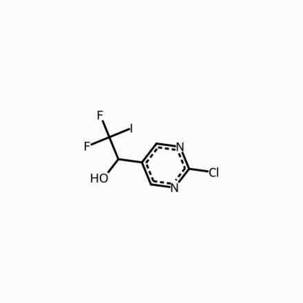 OC(c1cnc(Cl)nc1)C(F)(F)I